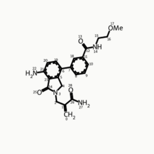 C=C(CN1Cc2c(-c3cccc(C(=O)NCCOC)c3)ccc(N)c2C1=O)C(N)=O